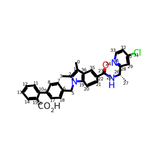 Cc1c(C)n(Cc2ccc(-c3ccccc3C(=O)O)cc2)c2ccc(C(=O)N[C@@H](C)c3cc(Cl)ccn3)cc12